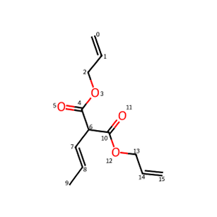 C=CCOC(=O)C(C=CC)C(=O)OCC=C